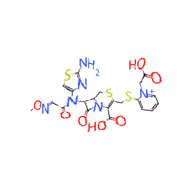 CON=CC(=O)N(c1csc(N)n1)C1C(=O)N2C(C(=O)O)=C(CSc3cccc[n+]3CC(=O)O)SCC12